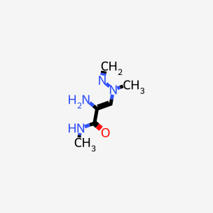 C=NN(C)/C=C(\N)C(=O)NC